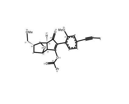 CC#Cc1ccc(C2=C(OC(=O)C(C)C)C3C4C[C@H](COC)C(O4)[C@H]3C2=O)c(OC)c1